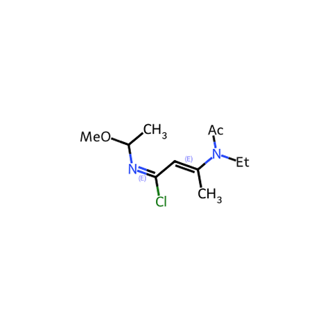 CCN(C(C)=O)/C(C)=C/C(Cl)=N\C(C)OC